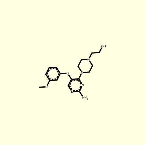 COc1cccc(Oc2cnc(N)nc2N2CCN(CCO)CC2)c1